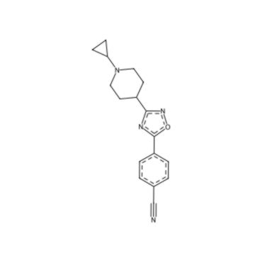 N#Cc1ccc(-c2nc(C3CCN(C4CC4)CC3)no2)cc1